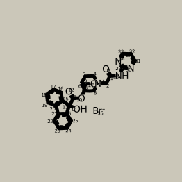 O=C(C[N+]12CCC(CC1)C(OC(=O)C1(O)c3ccccc3-c3ccccc31)C2)Nc1ncccn1.[Br-]